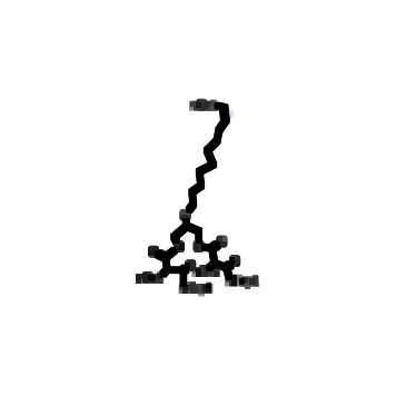 CCCCCCCC/C=C\CCCCCCCCOC(COC(=O)C(CCCCCCCC)C(=O)CCCCCCC)COC(=O)C(CCCCCCCC)C(=O)CCCCCCC